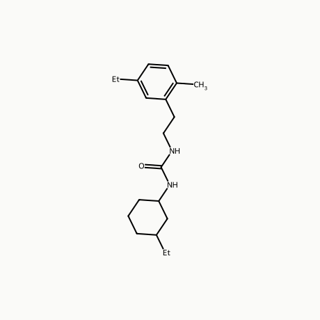 CCc1ccc(C)c(CCNC(=O)NC2CCCC(CC)C2)c1